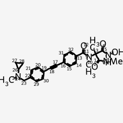 CNC(=O)C(C)(C(=O)NO)N(C)C(=O)c1ccc(C#Cc2ccc(CN(C)C3CC3)cc2)cc1